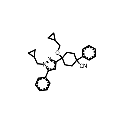 N#CC1(c2ccccc2)CCC(OCC2CC2)(c2cc(-c3ccccc3)n(CC3CC3)n2)CC1